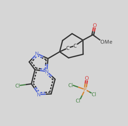 COC(=O)C12CCC(c3ncc4c(Cl)nccn34)(CC1)CC2.O=P(Cl)(Cl)Cl